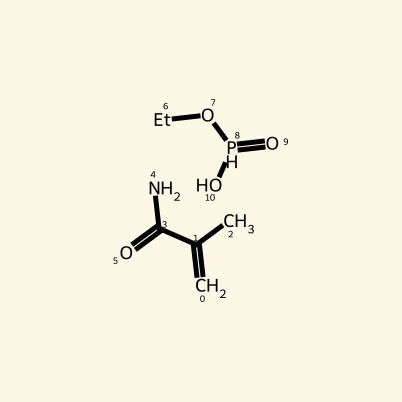 C=C(C)C(N)=O.CCO[PH](=O)O